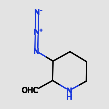 [N-]=[N+]=NC1CCCNC1C=O